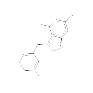 O=[N+]([O-])c1cc(Br)c2c(ccn2CC2=CCCC(F)=C2)c1